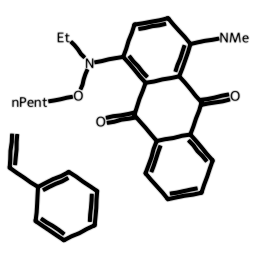 C=Cc1ccccc1.CCCCCON(CC)c1ccc(NC)c2c1C(=O)c1ccccc1C2=O